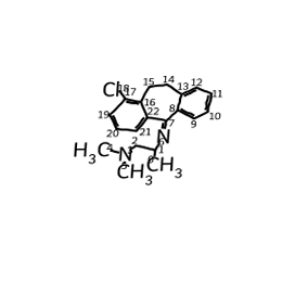 CC(CN(C)C)/N=C1/c2ccccc2CCc2c(Cl)cccc21